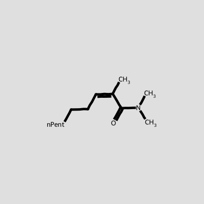 CCCCCCCC=C(C)C(=O)N(C)C